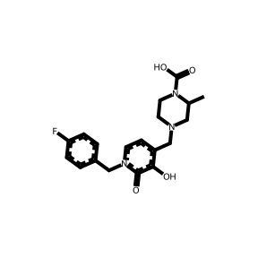 CC1CN(Cc2ccn(Cc3ccc(F)cc3)c(=O)c2O)CCN1C(=O)O